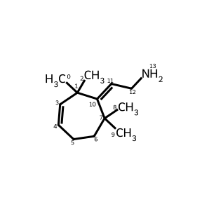 CC1(C)C=CCCC(C)(C)/C1=C\CN